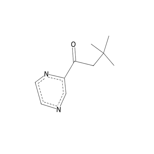 CC(C)(C)CC(=O)c1cnccn1